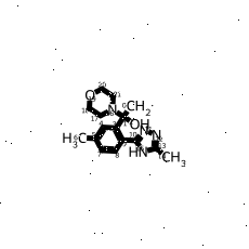 [CH2]C(O)(c1cc(C)ccc1-c1nnc(C)[nH]1)N1CCOCC1